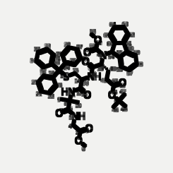 COC(=O)CNC(=O)C(C)(C)NC(=O)[C@@H](CSC(c1ccccc1)(c1ccccc1)c1ccccc1)NC(=O)[C@@H](CCC(=O)OC(C)(C)C)N(C(=O)OC)C1c2ccccc2-c2ccccc21